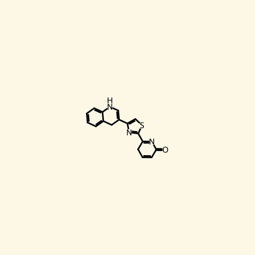 O=C1C=CCC(c2nc(C3=CNc4ccccc4C3)cs2)=N1